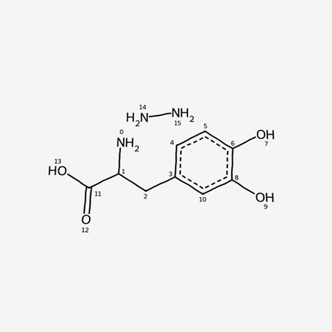 NC(Cc1ccc(O)c(O)c1)C(=O)O.NN